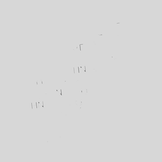 O=C(Cn1c(=O)[nH]c2ccccc2c1=O)NCc1ccc(F)cc1F